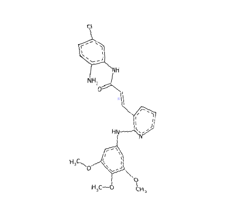 COc1cc(Nc2ncccc2/C=C/C(=O)Nc2cc(Cl)ccc2N)cc(OC)c1OC